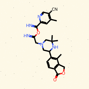 Cc1cc(C(=N)OC(=N)CN2CC(c3ccc4c(c3C)COC4=O)NC(C)(C)C2)ncc1C#N